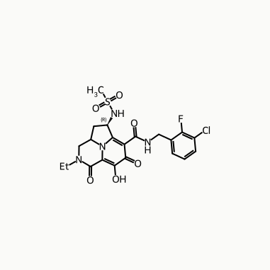 CCN1CC2C[C@@H](NS(C)(=O)=O)c3c(C(=O)NCc4cccc(Cl)c4F)c(=O)c(O)c(n32)C1=O